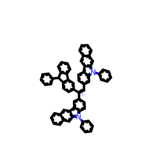 C(=C(/c1ccc2c(c1)-c1ccccc1C2c1ccccc1)c1ccc2c(c1)c1cc3ccccc3cc1n2-c1ccccc1)/c1ccc2c3cc4ccccc4cc3n(-c3ccccc3)c2c1